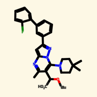 Cc1nc2cc(-c3cccc(-c4ccccc4F)c3)nn2c(N2CCC(C)(C)CC2)c1C(OC(C)(C)C)C(=O)O